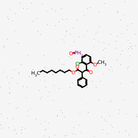 CCCCCCCCOC(=O)C(C(=O)c1c(Cl)cccc1OC)c1ccccc1.O=[PH3]